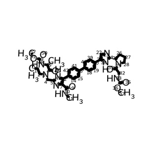 CCCN(Cc1nc(C(=O)NC)c(-c2ccc(-c3ccc(-c4cnc([C@@H]5CCCN5C(=O)CNC(=O)OC)[nH]4)cc3)cc2)[nH]1)C(=O)[C@H](C)NC(=O)OC